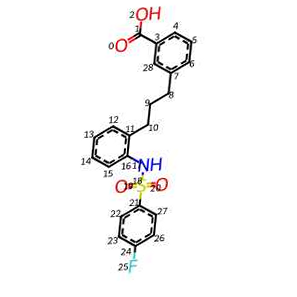 O=C(O)c1cccc(CCCc2ccccc2NS(=O)(=O)c2ccc(F)cc2)c1